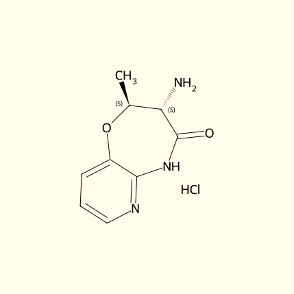 C[C@@H]1Oc2cccnc2NC(=O)[C@H]1N.Cl